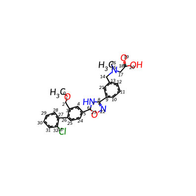 COCc1cc(C2NC(c3cccc(CN(C)CC(=O)O)c3)=NO2)ccc1-c1ccccc1Cl